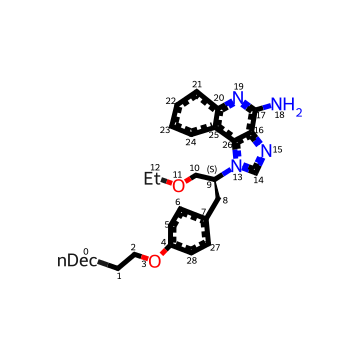 CCCCCCCCCCCCOc1ccc(C[C@@H](COCC)n2cnc3c(N)nc4ccccc4c32)cc1